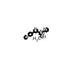 CNc1cc(-c2cncc(-c3ccc(N4CCCC4)cc3)c2)nc(-c2ccccn2)n1